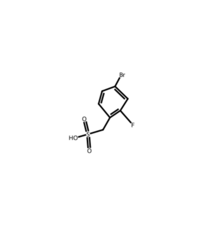 O=S(=O)(O)Cc1ccc(Br)cc1F